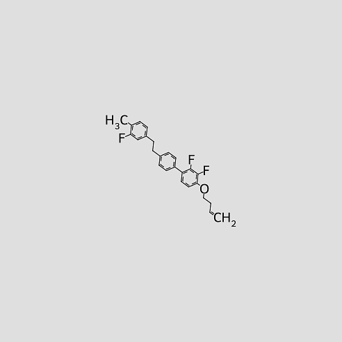 C=CCCOc1ccc(-c2ccc(CCc3ccc(C)c(F)c3)cc2)c(F)c1F